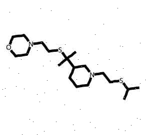 CC(C)SCCN1CCCC(C(C)(C)SCCN2CCOCC2)C1